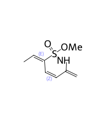 C=C(C)/C=C\C(=C/C)S(=N)(=O)OC